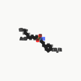 CCOC(=O)c1ccc(CCCNS(=O)(=O)CCCCC(CCCC(C)(C)C)OC(C)=O)cc1